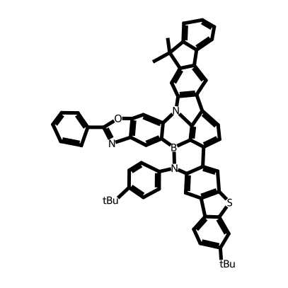 CC(C)(C)c1ccc(N2B3c4cc5nc(-c6ccccc6)oc5cc4-n4c5cc6c(cc5c5ccc(c3c54)-c3cc4sc5cc(C(C)(C)C)ccc5c4cc32)-c2ccccc2C6(C)C)cc1